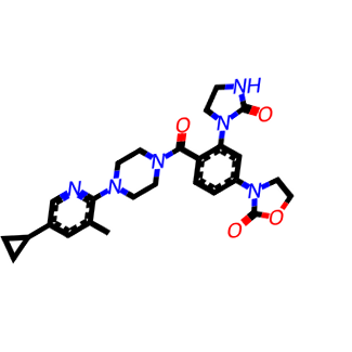 Cc1cc(C2CC2)cnc1N1CCN(C(=O)c2ccc(N3CCOC3=O)cc2N2CCNC2=O)CC1